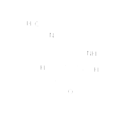 CN1CCN[C@H]2COC[C@H]2C1